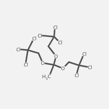 CC(OCC(Cl)(Cl)Cl)(OCC(Cl)(Cl)Cl)OCC(Cl)(Cl)Cl